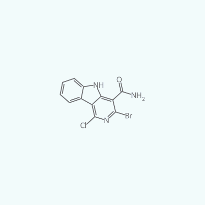 NC(=O)c1c(Br)nc(Cl)c2c1[nH]c1ccccc12